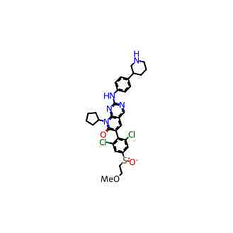 COCC[S+]([O-])c1cc(Cl)c(-c2cc3cnc(Nc4ccc(C5CCCNC5)cc4)nc3n(C3CCCC3)c2=O)c(Cl)c1